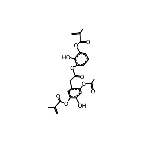 C=C(C)C(=O)Oc1cc(CC(=O)Oc2cccc(OC(=O)C(=C)C)c2O)c(OC(C)=O)cc1O